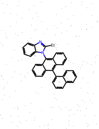 CCc1nc2ccccc2n1-c1c2ccccc2c(-c2cccc3ccccc23)c2ccccc12